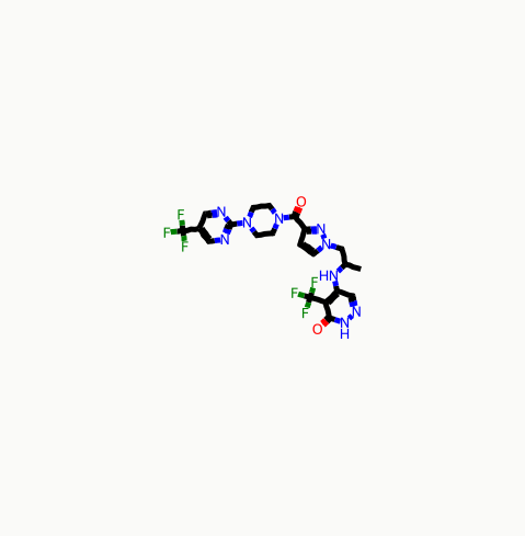 CC(Cn1ccc(C(=O)N2CCN(c3ncc(C(F)(F)F)cn3)CC2)n1)Nc1cn[nH]c(=O)c1C(F)(F)F